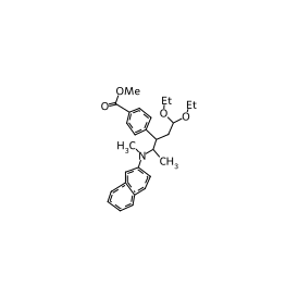 CCOC(CC(c1ccc(C(=O)OC)cc1)C(C)N(C)c1ccc2ccccc2c1)OCC